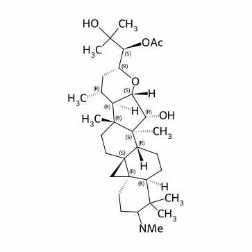 CNC1CC[C@]23C[C@]24CC[C@]2(C)[C@@H]5[C@H](O[C@@H]([C@H](OC(C)=O)C(C)(C)O)C[C@H]5C)[C@H](O)[C@@]2(C)[C@@H]4CC[C@H]3C1(C)C